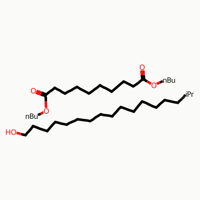 CC(C)CCCCCCCCCCCCCCCO.CCCCOC(=O)CCCCCCCCC(=O)OCCCC